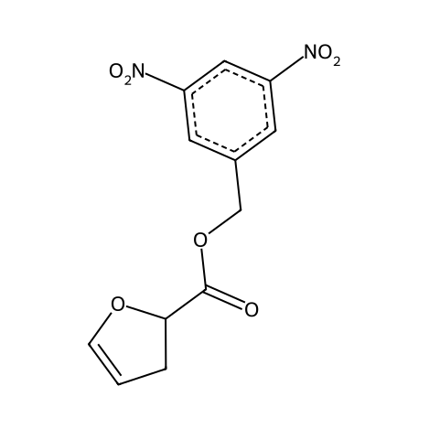 O=C(OCc1cc([N+](=O)[O-])cc([N+](=O)[O-])c1)C1CC=CO1